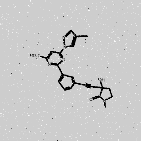 Cc1cnn(-c2cc(C(=O)O)nc(-c3cccc(C#CC4(O)CCN(C)C4=O)c3)n2)c1